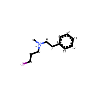 CN(CCCI)CCc1ccccc1